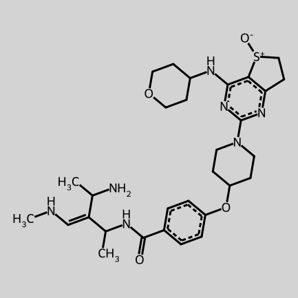 CN/C=C(\C(C)N)C(C)NC(=O)c1ccc(OC2CCN(c3nc4c(c(NC5CCOCC5)n3)[S+]([O-])CC4)CC2)cc1